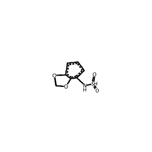 O=[SH](=O)Nc1cccc2c1OCO2